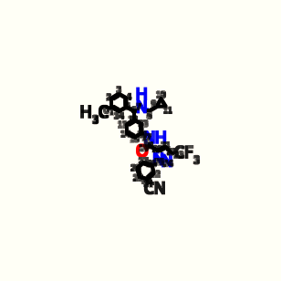 Cc1cccc(C(NCC2CC2)c2cccc(NC(=O)c3cc(C(F)(F)F)nn3-c3cccc(C#N)c3)c2)c1